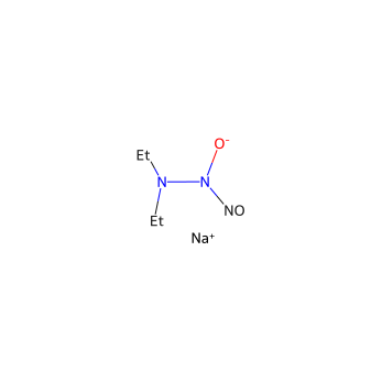 CCN(CC)N([O-])N=O.[Na+]